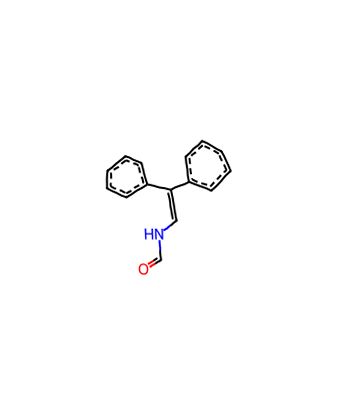 O=CNC=C(c1ccccc1)c1ccccc1